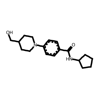 O=C(NC1CCCC1)c1ccc(N2CCC(CO)CC2)cc1